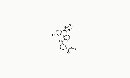 CC(C)(C)OC(=O)N1CCCC(Nc2nccc(-c3c(-c4ccc(F)cc4)nc4sccn34)n2)C1